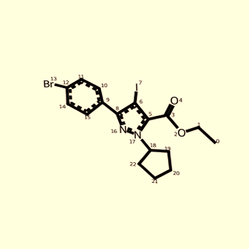 CCOC(=O)c1c(I)c(-c2ccc(Br)cc2)nn1C1CCCC1